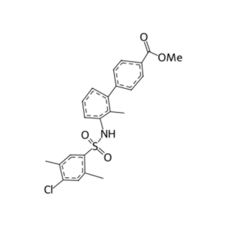 COC(=O)c1ccc(-c2cccc(NS(=O)(=O)c3cc(C)c(Cl)cc3C)c2C)cc1